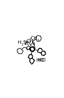 CC[CH2][Zr]([CH3])(=[SiH2])([CH]1C(CC2CCCCCC2)=Cc2c(-c3ccc4ccccc4c3)cccc21)[CH]1C(CC2CCCCCC2)=Cc2c(-c3ccc4ccccc4c3)cccc21.Cl.Cl